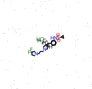 CC[C@]1(c2cccc(NS(=O)(=O)C3CC3)c2)[C@@H]2CN(CCCN3CCC(F)(F)C3)C[C@@H]21.Cl